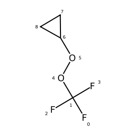 FC(F)(F)OOC1CC1